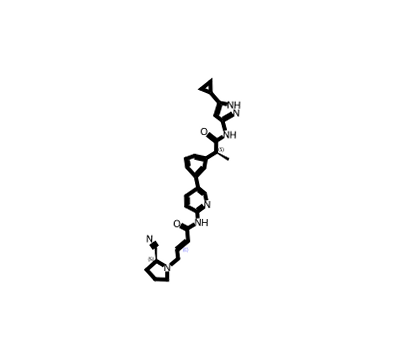 C[C@H](C(=O)Nc1cc(C2CC2)[nH]n1)c1cccc(-c2ccc(NC(=O)/C=C/CN3CCC[C@H]3C#N)nc2)c1